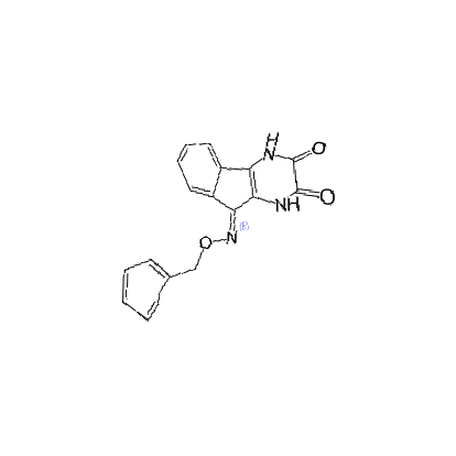 O=c1[nH]c2c([nH]c1=O)-c1ccccc1/C2=N\OCc1ccccc1